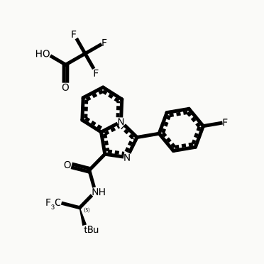 CC(C)(C)[C@H](NC(=O)c1nc(-c2ccc(F)cc2)n2ccccc12)C(F)(F)F.O=C(O)C(F)(F)F